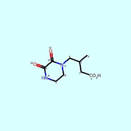 CC(CC(=O)O)CN1CCNC(=O)C1=O